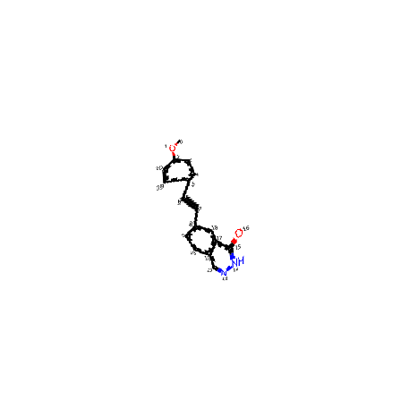 COc1ccc(/C=C/c2ccc3cn[nH]c(=O)c3c2)cc1